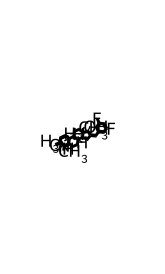 CN1C(=O)C=C[C@]2(C)[C@H]3CC[C@]4(C)[C@@H](O)/C(=C\c5cc(F)cc(F)c5)C[C@H]4[C@@H]3CC[C@@H]12